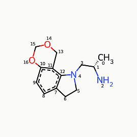 C[C@H](N)CN1CCc2ccc3c(c21)COCO3